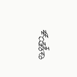 Cn1cnnc1-c1ccc2cnc(NC(=O)CN3CCOCC3)nc2c1